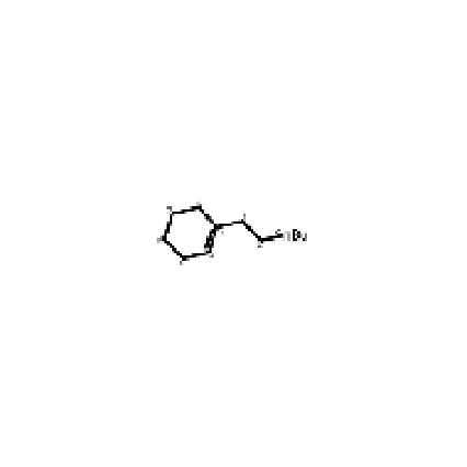 CCCCCCC1=CC[CH]CC1